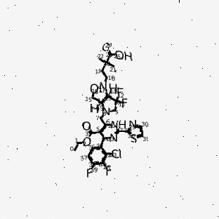 CCOC(=O)C1=C(CN2CC(F)(F)[C@H]3[C@@H]2CON3CCC(C)(C)C(=O)O)NC(c2nccs2)=NC1c1ccc(F)c(F)c1Cl